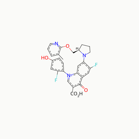 Cc1cccnc1OC[C@H]1CCCN1c1cc2c(cc1F)c(=O)c(C(=O)O)cn2-c1ccc(O)cc1F